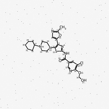 Cc1ncc(-c2nc(NC(=O)c3cnc(OCO)c(Cl)c3)sc2N2CCN(C3CCCCC3)CC2)o1